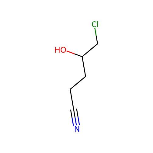 N#CCCC(O)CCl